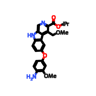 COCc1c(C(=O)OC(C)C)ncc2[nH]c3ccc(Oc4ccc(N)c(OC)c4)cc3c12